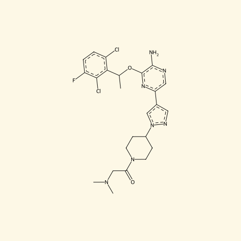 CC(Oc1nc(-c2cnn(C3CCN(C(=O)CN(C)C)CC3)c2)cnc1N)c1c(Cl)ccc(F)c1Cl